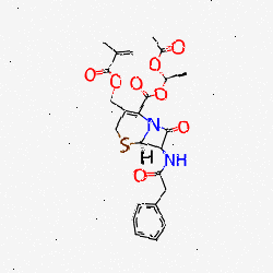 C=C(C)C(=O)OCC1=C(C(=O)O[C@H](C)OC(C)=O)N2C(=O)[C@@H](NC(=O)Cc3ccccc3)[C@H]2SC1